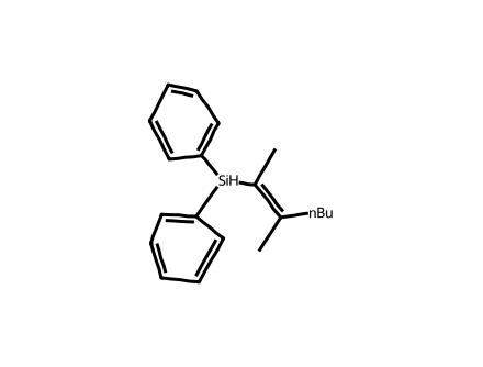 CCCCC(C)=C(C)[SiH](c1ccccc1)c1ccccc1